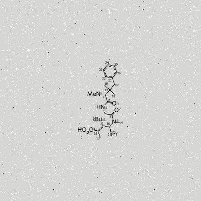 CN[C@@H](C(=O)N[C@H](C(=O)N(C)[C@H](/C=C(\C)C(=O)O)C(C)C)C(C)(C)C)C(C)(C)Cc1ccccc1